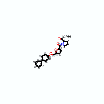 COC(=O)C1CCCN1C(=O)c1ccc(COc2ccc(-c3ccccc3)cc2)o1